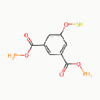 O=C(OP)c1cc(OS)cc(C(=O)OP)c1